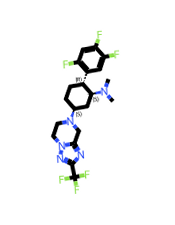 CN(C)[C@H]1C[C@@H](N2CCn3nc(C(F)(F)F)nc3C2)CC[C@@H]1c1cc(F)c(F)cc1F